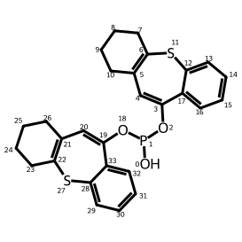 OP(OC1=CC2=C(CCCC2)Sc2ccccc21)OC1=CC2=C(CCCC2)Sc2ccccc21